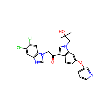 CC(C)(O)Cn1cc(C(=O)Cn2cnc3cc(Cl)c(Cl)cc32)c2ccc(Oc3cccnc3)cc21